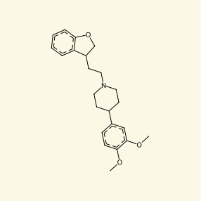 COc1ccc(C2CCN(CCC3COc4ccccc43)CC2)cc1OC